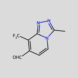 Cc1nnc2c(C(F)(F)F)c(C=O)ccn12